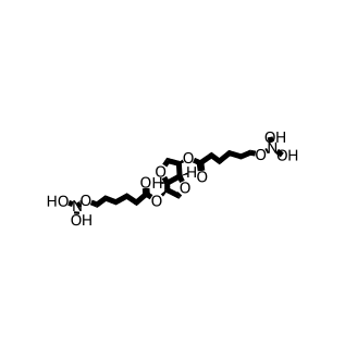 O=C(CCCCCON(O)O)O[C@@H]1CO[C@H]2[C@@H]1OC[C@H]2OC(=O)CCCCCON(O)O